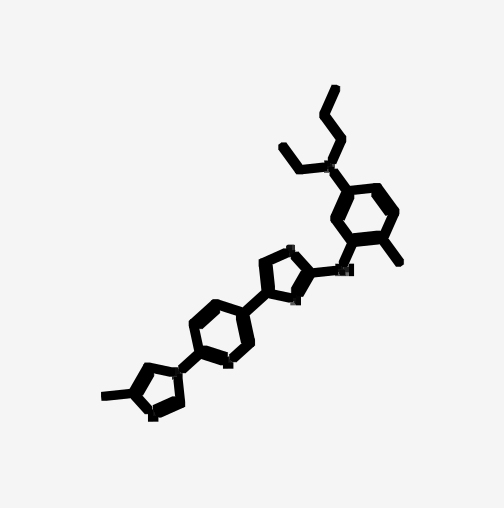 CCCN(CC)c1ccc(C)c(Nc2nc(-c3ccc(-n4cnc(C)c4)nc3)cs2)c1